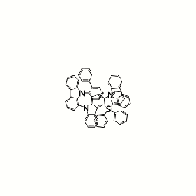 c1ccc(-c2ccccc2-n2c3ccccc3c3cccc(-n4c5ccccc5c5c([Si](c6ccccc6)(c6ccccc6)c6ccccc6)c(-n6c7ccccc7c7ccccc76)ccc54)c32)cc1